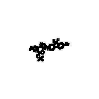 CC(C)(C)OC(=O)N1CC2(CC2)CC1c1ncc(-c2ccc3c(c2)C(F)(F)c2cc(Br)ccc2-3)[nH]1